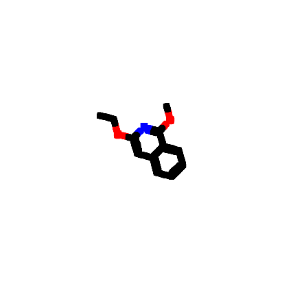 CCOc1cc2ccccc2c(OC)n1